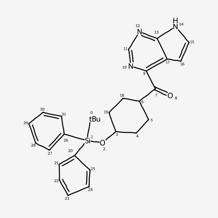 CC(C)(C)[Si](OC1CCC(C(=O)c2ncnc3[nH]ccc23)CC1)(c1ccccc1)c1ccccc1